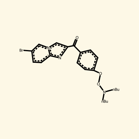 CCCCN(CCCC)OOc1ccc(C(=O)c2cn3cc(Br)ccc3n2)cc1